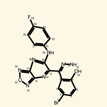 N/N=C(\c1cc(Br)ccc1O)c1nc2nonc2nc1Nc1ccc(F)cc1